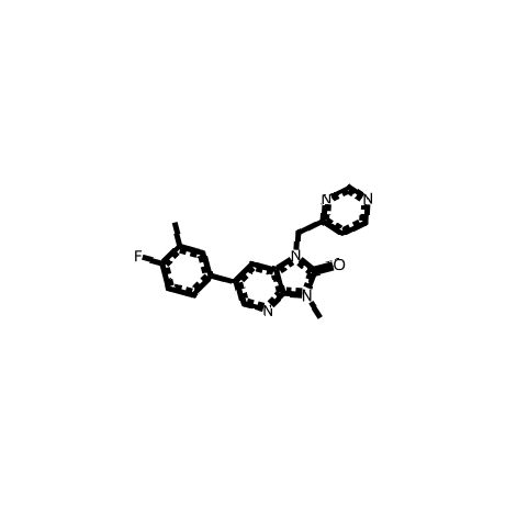 Cc1cc(-c2cnc3c(c2)n(Cc2ccncn2)c(=O)n3C)ccc1F